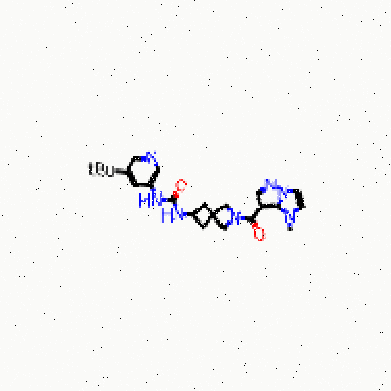 Cn1ccn2ncc(C(=O)N3CC4(CC(NC(=O)Nc5cncc(C(C)(C)C)c5)C4)C3)c12